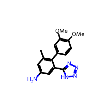 COc1ccc(-c2c(C)cc(N)cc2-c2nnn[nH]2)cc1OC